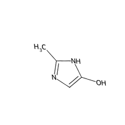 Cc1ncc(O)[nH]1